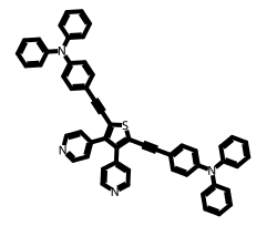 C(#Cc1sc(C#Cc2ccc(N(c3ccccc3)c3ccccc3)cc2)c(-c2ccncc2)c1-c1ccncc1)c1ccc(N(c2ccccc2)c2ccccc2)cc1